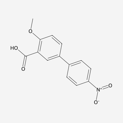 COc1ccc(-c2ccc([N+](=O)[O-])cc2)cc1C(=O)O